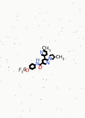 Cc1ccc(-c2cc(C(=O)Nc3ccc(OC(F)(F)F)cc3)cnc2N2CC[C@H](C)C2)cn1